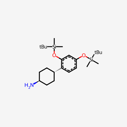 CC(C)(C)[Si](C)(C)Oc1ccc([C@H]2CC[C@H](N)CC2)c(O[Si](C)(C)C(C)(C)C)c1